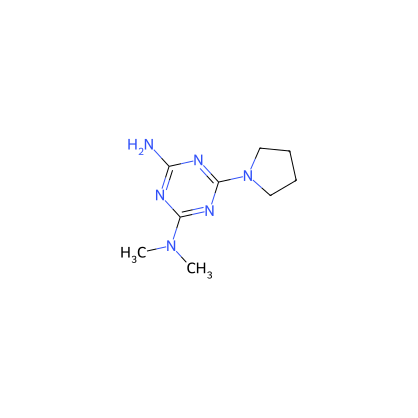 CN(C)c1nc(N)nc(N2CCCC2)n1